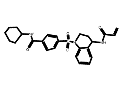 C=CC(=O)NC1CCN(S(=O)(=O)c2ccc(C(=O)NC3CCCCC3)cc2)c2ccccc21